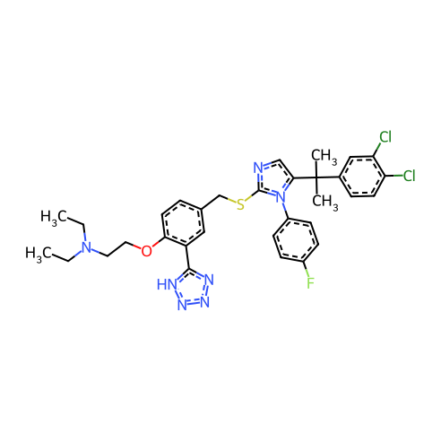 CCN(CC)CCOc1ccc(CSc2ncc(C(C)(C)c3ccc(Cl)c(Cl)c3)n2-c2ccc(F)cc2)cc1-c1nnn[nH]1